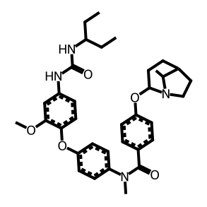 CCC(CC)NC(=O)Nc1ccc(Oc2ccc(N(C)C(=O)c3ccc(OC4CCC5CCN4C5C)cc3)cc2)c(OC)c1